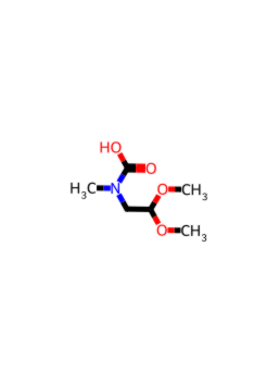 COC(CN(C)C(=O)O)OC